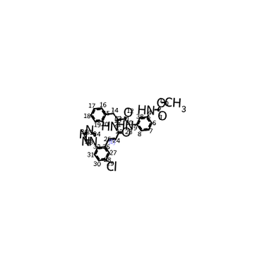 COC(=O)Nc1cccc(NC(=O)[C@H](Cc2ccccc2)NC(=O)/C=C/c2cc(Cl)ccc2-n2cnnn2)c1